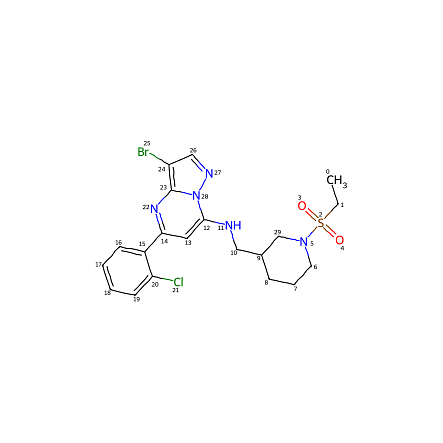 CCS(=O)(=O)N1CCCC(CNc2cc(-c3ccccc3Cl)nc3c(Br)cnn23)C1